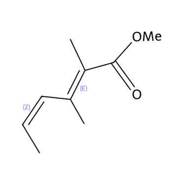 C/C=C\C(C)=C(/C)C(=O)OC